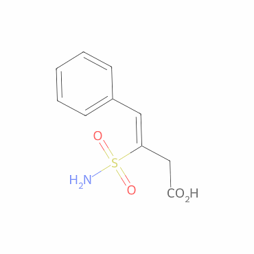 NS(=O)(=O)C(=Cc1ccccc1)CC(=O)O